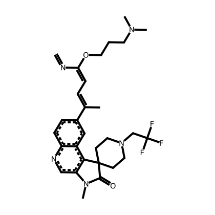 C=N/C(=C\C=C(/C)c1ccc2ncc3c(c2c1)C1(CCN(CC(F)(F)F)CC1)C(=O)N3C)OCCCN(C)C